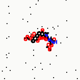 C=C(OOC)OC(=O)C1CN(C(=O)Cn2c(C)cc3c(=O)c4ccc5c(OC)c6c(=O)c7c(OCC(=O)OC)cccc7c(=O)c6c(O)c5c4c(=O)c3c2=O)C(C)C(=O)N1